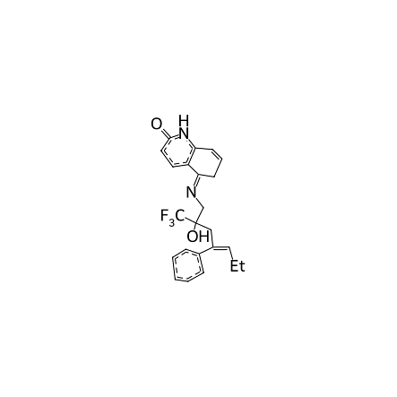 CCC=C(CC(O)(CN=C1CC=Cc2[nH]c(=O)ccc21)C(F)(F)F)c1ccccc1